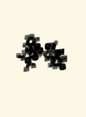 C#C[C@@]1(O)[C@H](O)[C@@H](COP(=S)(N[C@@H](CCC)C(=O)OC(C)C)Oc2ccccc2)C[C@H]1n1ccc(=O)[nH]c1=O